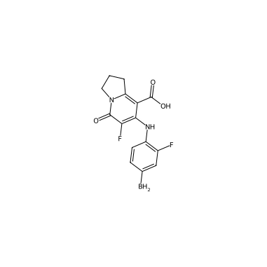 Bc1ccc(Nc2c(C(=O)O)c3n(c(=O)c2F)CCC3)c(F)c1